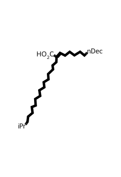 CCCCCCCCCCCCCCCC=C(CCCCCCCCCCCCCCCC(C)C)C(=O)O